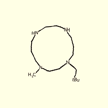 CN1CCCNCCNCCCN(CC(C)(C)C)CC1